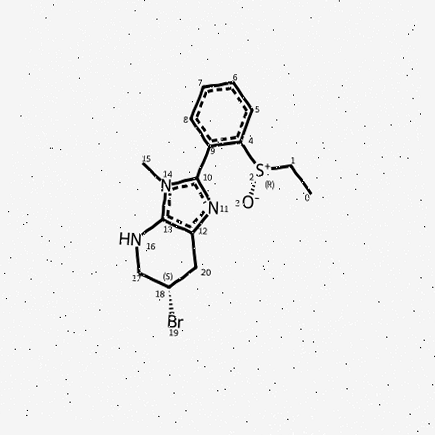 CC[S@+]([O-])c1ccccc1-c1nc2c(n1C)NC[C@@H](Br)C2